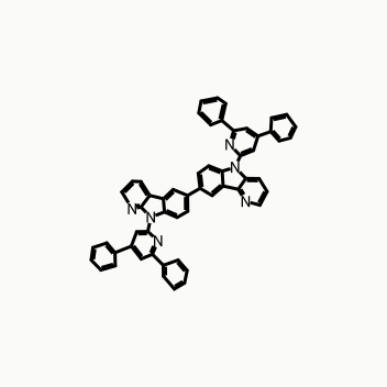 c1ccc(-c2cc(-c3ccccc3)nc(-n3c4ccc(-c5ccc6c(c5)c5cccnc5n6-c5cc(-c6ccccc6)cc(-c6ccccc6)n5)cc4c4ncccc43)c2)cc1